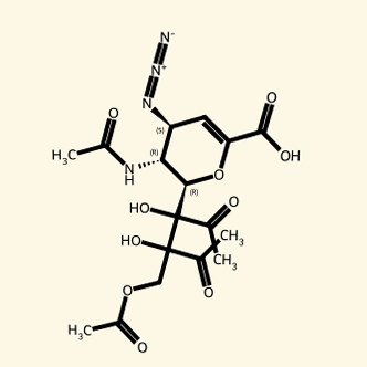 CC(=O)N[C@@H]1[C@@H](N=[N+]=[N-])C=C(C(=O)O)O[C@H]1C(O)(C(C)=O)C(O)(COC(C)=O)C(C)=O